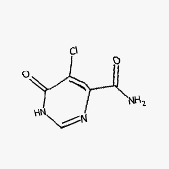 NC(=O)c1nc[nH]c(=O)c1Cl